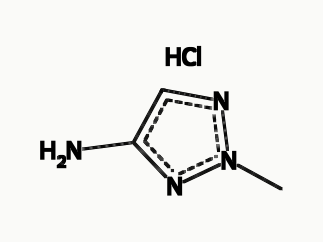 Cl.Cn1ncc(N)n1